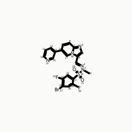 CN(/N=C/c1cnc2ccc(-c3cccnc3)cn12)S(=O)(=O)c1cc(F)c(Br)cc1F